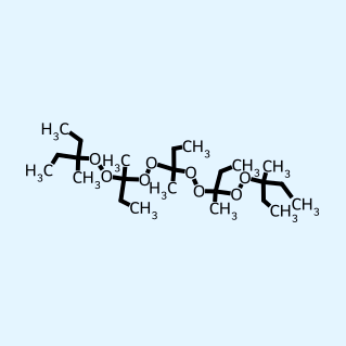 CCC(C)(CC)OOC(C)(CC)OOC(C)(CC)OOC(C)(CC)OOC(C)(CC)CC